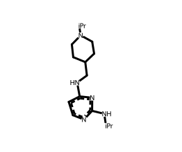 CC(C)Nc1nccc(NCC2CCN(C(C)C)CC2)n1